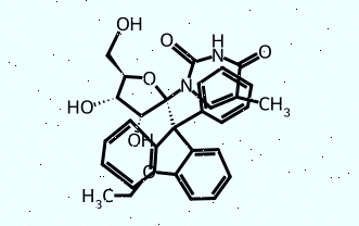 CCOc1ccccc1C(c1ccccc1)(c1ccccc1)[C@@]1(n2cc(C)c(=O)[nH]c2=O)O[C@H](CO)[C@@H](O)[C@H]1O